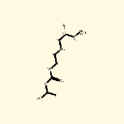 CC(C)C(C)OC(=O)OCCOC[C@H](C)O[N+](=O)[O-]